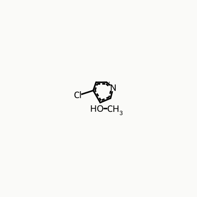 CO.Clc1c[c]ncc1